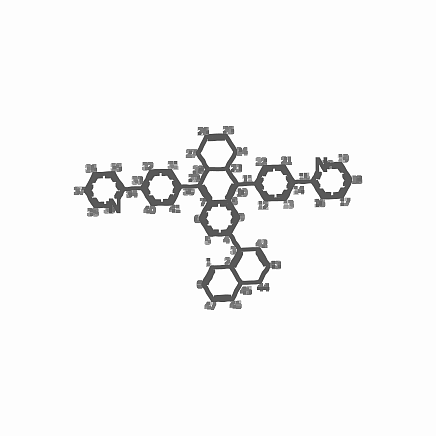 C1=CC2=C(c3ccc4c(c3)=C(c3ccc(-c5ccccn5)cc3)C3CC=CCC3C=4c3ccc(-c4ccccn4)cc3)C=CCC2C=C1